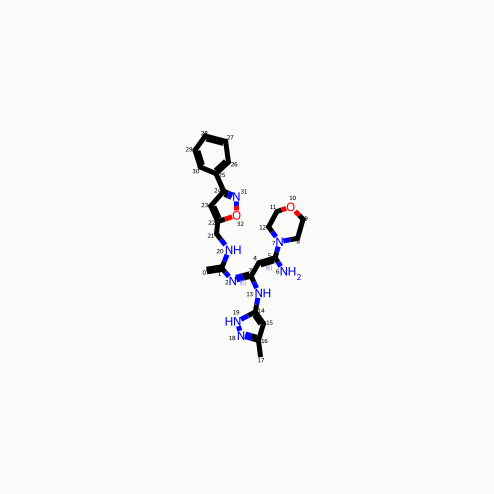 C=C(/N=C(\C=C(/N)N1CCOCC1)Nc1cc(C)n[nH]1)NCc1cc(-c2ccccc2)no1